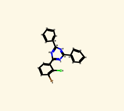 Clc1c(Br)cccc1-c1nc(-c2ccccc2)nc(-c2ccccc2)n1